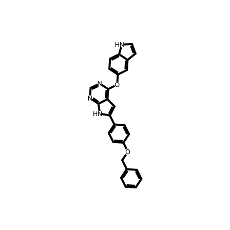 c1ccc(COc2ccc(-c3cc4c(Oc5ccc6[nH]ccc6c5)ncnc4[nH]3)cc2)cc1